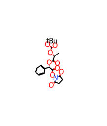 C[C@H](OC(=O)OC(C)(C)C)C(=O)O[C@H](C(=O)ON1C(=O)CCC1=O)c1ccccc1